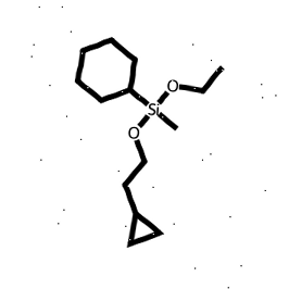 CCO[Si](C)(OCCC1CC1)C1CCCCC1